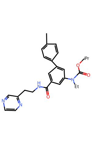 CCN(C(=O)OC(C)C)c1cc(C(=O)NCCc2cnccn2)cc(-c2ccc(C)cc2)c1